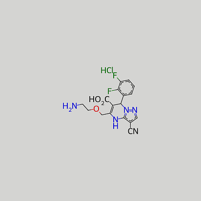 Cl.N#Cc1cnn2c1NC(COCCN)=C(C(=O)O)C2c1cccc(F)c1F